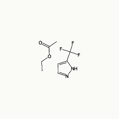 CCOC(C)=O.FC(F)(F)c1ccn[nH]1